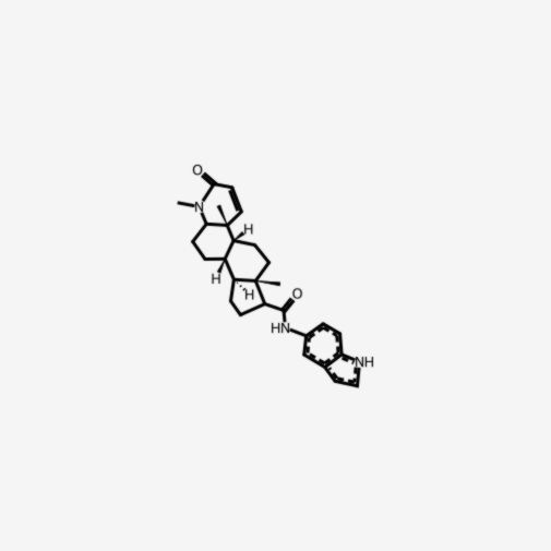 CN1C(=O)C=C[C@@]2(C)C1CC[C@@H]1[C@H]2CC[C@]2(C)C(C(=O)Nc3ccc4[nH]ccc4c3)CC[C@@H]12